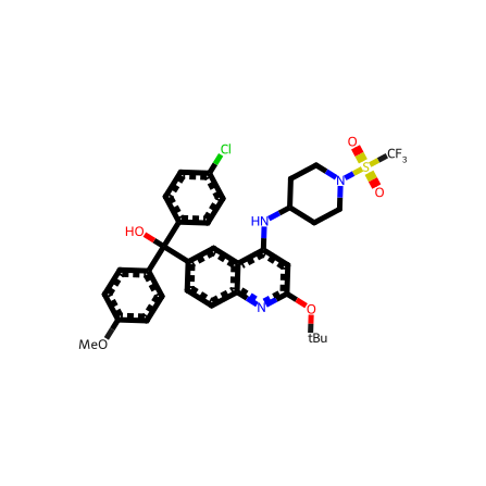 COc1ccc(C(O)(c2ccc(Cl)cc2)c2ccc3nc(OC(C)(C)C)cc(NC4CCN(S(=O)(=O)C(F)(F)F)CC4)c3c2)cc1